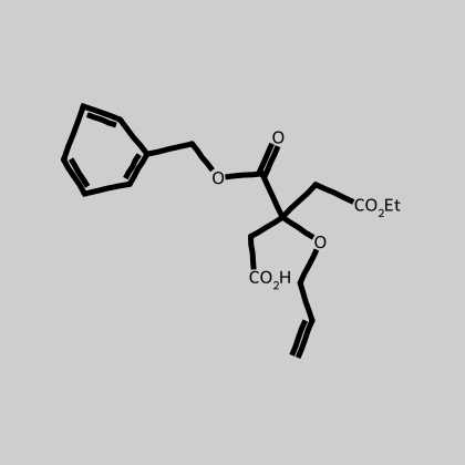 C=CCOC(CC(=O)O)(CC(=O)OCC)C(=O)OCc1ccccc1